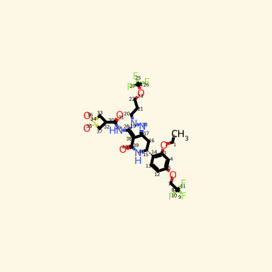 CCOc1cc(OCC(F)(F)F)ccc1[C@H]1Cc2nn(CCCOC(F)(F)F)c(NC(=O)C3CS(=O)(=O)C3)c2C(=O)N1